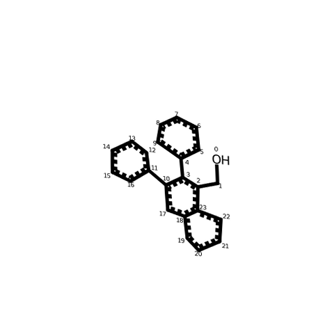 OCc1c(-c2ccccc2)c(-c2ccccc2)cc2ccccc12